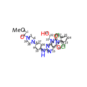 COCC(=O)N1CCN(c2ccc(Nc3ncc4c(=O)n(-c5c(Cl)cccc5Cl)c(=O)n(CCO)c4n3)cc2)CC1